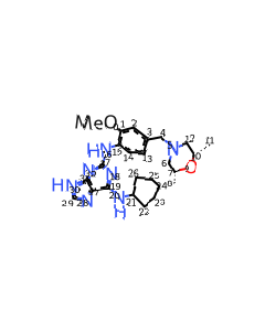 COc1cc(CN2C[C@@H](C)O[C@@H](C)C2)ccc1Nc1nc(NC2CCCCC2)c2nc[nH]c2n1